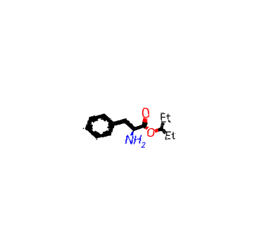 CCC(CC)OC(=O)[C@@H](N)Cc1c[c][c]cc1